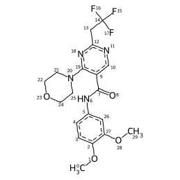 COc1ccc(NC(=O)c2cnc(CC(F)(F)F)nc2N2CCOCC2)cc1OC